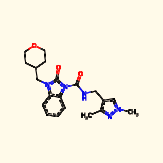 Cc1nn(C)cc1CNC(=O)n1c(=O)n(CC2CCOCC2)c2ccccc21